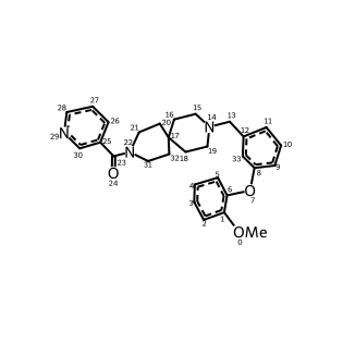 COc1ccccc1Oc1cccc(CN2CCC3(CC2)CCN(C(=O)c2cccnc2)CC3)c1